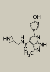 Cc1n[nH]c2nc(-c3ccc(O)cc3)cc(C(=O)NCC3CNC3)c12